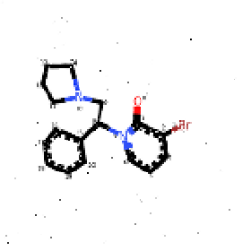 O=c1c(Br)cccn1[C@H](CN1CCCC1)c1ccccc1